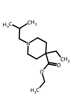 CCOC(=O)C1(CC)CCN(C[C](C)C)CC1